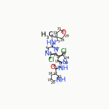 CCC1(CNc2cnc(Cl)c(-c3cc(NC(=O)[C@@H]4CCCNC4)ncc3Cl)n2)CCOCC1